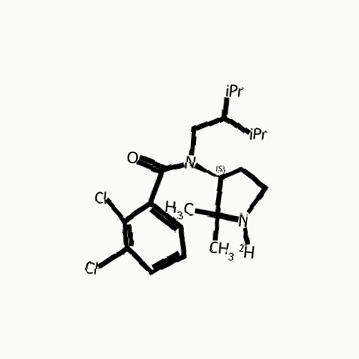 [2H]N1CC[C@H](N(CC(C(C)C)C(C)C)C(=O)c2cccc(Cl)c2Cl)C1(C)C